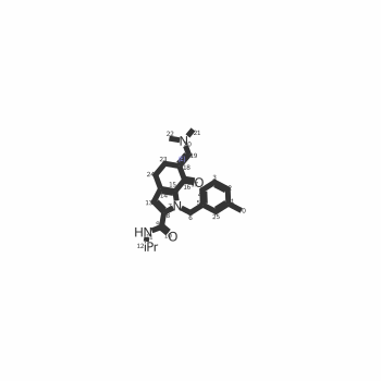 Cc1cccc(Cn2c(C(=O)NC(C)C)cc3c2C(=O)/C(=C/N(C)C)CC3)c1